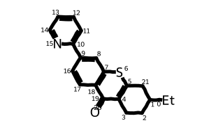 CCC1CCc2c(sc3cc(-c4ccccn4)ccc3c2=O)C1